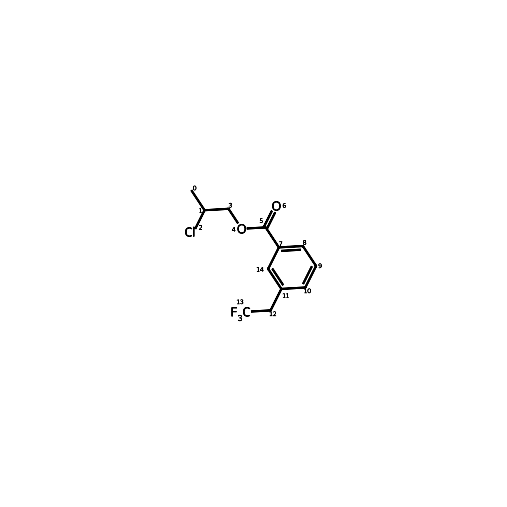 CC(Cl)COC(=O)c1cccc(CC(F)(F)F)c1